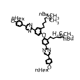 CCCCCCOc1ccc(-c2cnc(-c3ccc(Oc4ccc(-c5ncc(-c6ccc(OCCCCCC)cc6)cn5)cc4CCCC[Si](C)(C)CCCC)c(CCCC[Si](C)(C)CCCC)c3)nc2)cc1